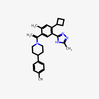 C=C(c1cc(-c2nnc(C)[nH]2)c(C2CCC2)cc1C)N1CCC(c2ccc(C#N)cc2)CC1